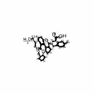 CN(C)CCN(Cc1ccccc1)C(=O)c1ccccc1-c1ccccc1C(=O)N(CCC(=O)O)Cc1ccc(F)cc1